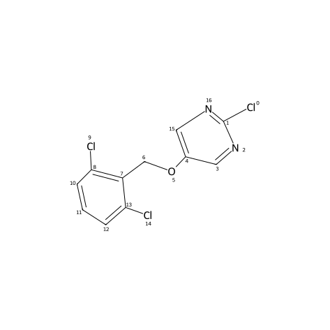 Clc1ncc(OCc2c(Cl)cccc2Cl)cn1